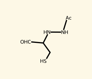 CC(=O)NNC(C=O)CS